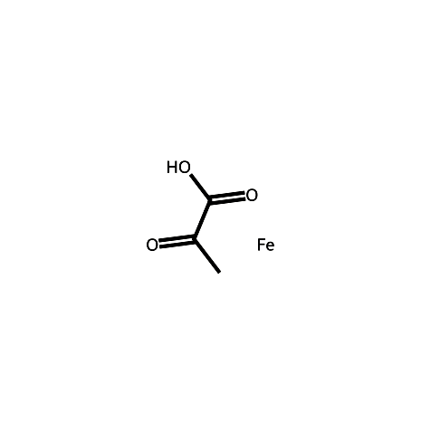 CC(=O)C(=O)O.[Fe]